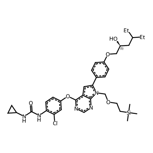 CCC(CC)C[C@H](O)COc1ccc(-c2cc3c(Oc4ccc(NC(=O)NC5CC5)c(Cl)c4)ncnc3n2COCC[Si](C)(C)C)cc1